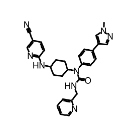 Cn1cc(-c2ccc(N(C(=O)NCc3ccccn3)C3CCC(Nc4ccc(C#N)cn4)CC3)cc2)cn1